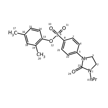 CCCN1CCN(c2ccc(S(=O)(=O)Oc3ccc(C)cc3C)cc2)C1=O